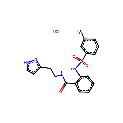 Cl.O=C(NCCc1cc[nH]n1)c1ccccc1NS(=O)(=O)c1cccc(C(F)(F)F)c1